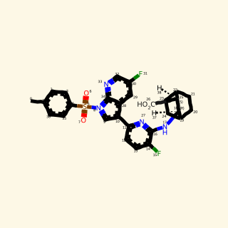 Cc1ccc(S(=O)(=O)n2cc(-c3ccc(F)c(N[C@@H]4C5CCC(CC5)[C@@H]4C(=O)O)n3)c3cc(F)cnc32)cc1